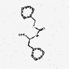 O=[C]C(Cc1ccccc1)NC(=O)OCc1ccccc1